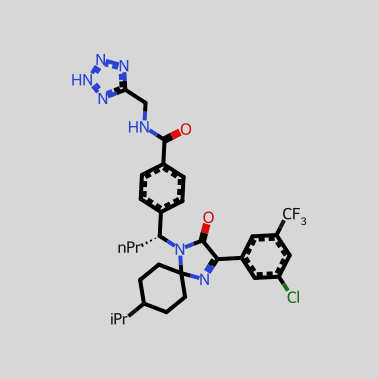 CCC[C@H](c1ccc(C(=O)NCc2nn[nH]n2)cc1)N1C(=O)C(c2cc(Cl)cc(C(F)(F)F)c2)=NC12CCC(C(C)C)CC2